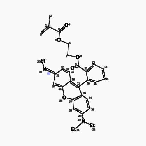 C=C(C)C(=O)OCCOC(=O)c1ccccc1-c1c2cc/c(=N\CC)cc-2oc2cc(N(CC)CC)ccc12